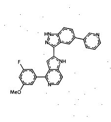 COc1cc(F)cc(-c2nccc3[nH]c(-c4n[nH]c5ccc(-c6cccnc6)cc45)cc23)c1